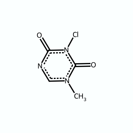 Cn1cnc(=O)n(Cl)c1=O